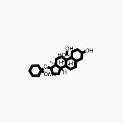 COC1(OC2CC[C@H]3[C@@H]4CC=C5CC(O)CC[C@]5(C(O)O)[C@@H]4CC[C@]23C)CCCCC1